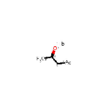 CC(=O)CC(=O)C(F)(F)F.[Tb]